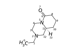 CCN1CCN2C(=O)CCC[C@H]2C1